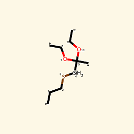 CCCS[SiH2]C(C)(OCC)OCC